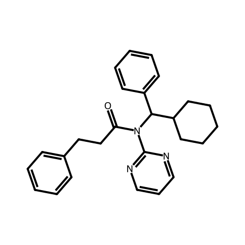 O=C(CCc1ccccc1)N(c1ncccn1)C(c1ccccc1)C1CCCCC1